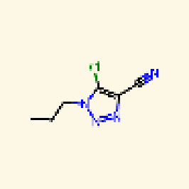 CCCn1nnc(C#N)c1Cl